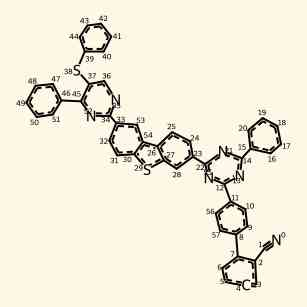 N#Cc1ccccc1-c1ccc(-c2nc(-c3ccccc3)nc(-c3ccc4c(c3)sc3ccc(-c5ncc(Sc6ccccc6)c(-c6ccccc6)n5)cc34)n2)cc1